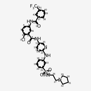 O=C(Nc1ccc(Cl)c(C(=O)Nc2cnc(Nc3cccc(S(=O)(=O)NCCN4CCCC4)c3)nc2)c1)c1cccc(C(F)(F)F)c1